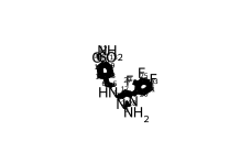 Nc1nc(NCCc2ccc(S(N)(=O)=O)cc2)cc(-c2ccc(F)c(F)c2F)n1